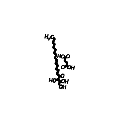 CCCCCCCCCCCCCC=CC(=O)C(O)C(O)CO.O=C(O)CCC(=O)O